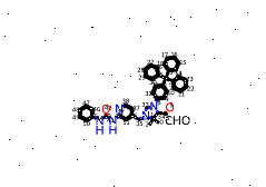 CC1(C)C(C(=O)C=O)N(c2ccc(C(c3ccccc3)(c3ccccc3)c3ccccc3)cc2)CN1Cc1ccnc(NC(=O)Nc2ccccc2)c1